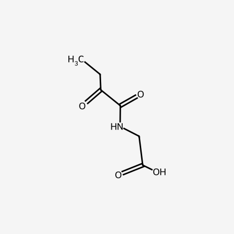 CCC(=O)C(=O)NCC(=O)O